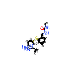 CCNC(=O)NCc1ccccc1SC1CCC2NNC(C(C)C)N2C1